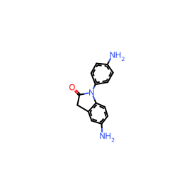 Nc1ccc(N2C(=O)Cc3cc(N)ccc32)cc1